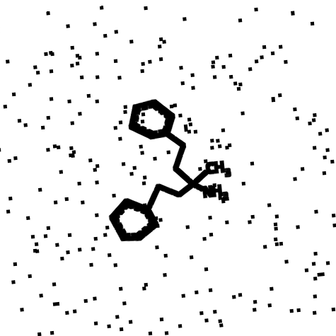 CC(N)(CCc1ccccc1)CCc1ccccc1